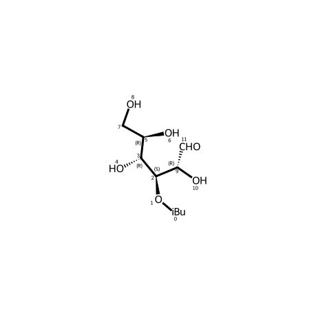 CCC(C)O[C@@H]([C@H](O)[C@H](O)CO)[C@@H](O)C=O